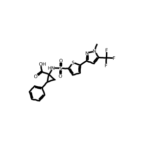 Cn1nc(-c2ccc(S(=O)(=O)NC3(C(=O)O)CC3c3ccccc3)s2)cc1C(F)(F)F